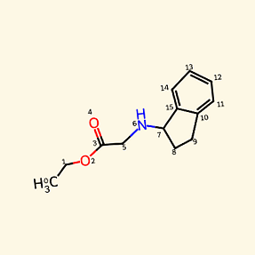 CCOC(=O)CNC1CCc2ccccc21